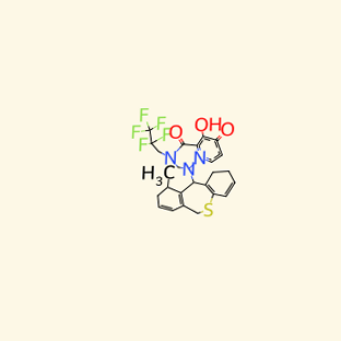 CC1CC=CC2=C1C(N1CN(CC(F)(F)C(F)(F)F)C(=O)c3c(O)c(=O)ccn31)C1=C(C=CCC1)SC2